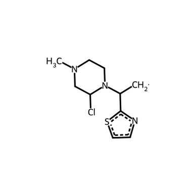 [CH2]C(c1nccs1)N1CCN(C)CC1Cl